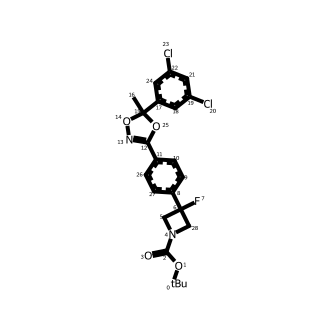 CC(C)(C)OC(=O)N1CC(F)(c2ccc(C3=NOC(C)(c4cc(Cl)cc(Cl)c4)O3)cc2)C1